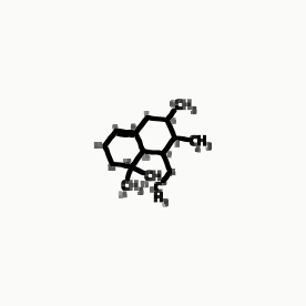 C[CH]C1C(C)C(C)CC2=CCCC(C)(C)C21